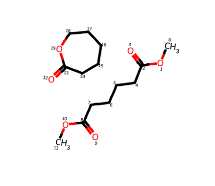 COC(=O)CCCCC(=O)OC.O=C1CCCCCO1